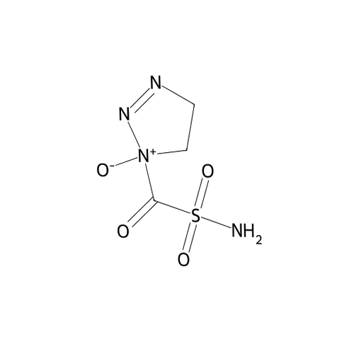 NS(=O)(=O)C(=O)[N+]1([O-])CCN=N1